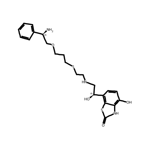 N[C@@H](COCCCSCCNC[C@H](O)c1ccc(O)c2[nH]c(=O)sc12)c1ccccc1